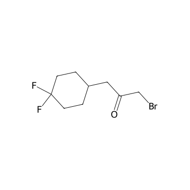 O=C(CBr)CC1CCC(F)(F)CC1